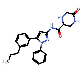 CCCc1cccc(-c2cc(NC(=O)[C@@H]3CNC(=O)CN3)nn2-c2ccccc2)c1